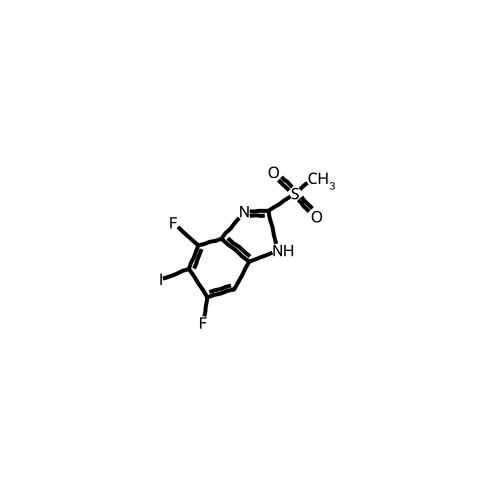 CS(=O)(=O)c1nc2c(F)c(I)c(F)cc2[nH]1